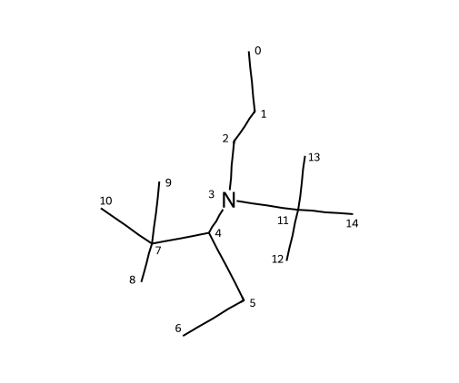 CCCN(C(CC)C(C)(C)C)C(C)(C)C